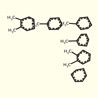 Cc1ccccc1.Cc1ccccc1.Cc1ccccc1.Cc1ccccc1C.Cc1ccccc1C.c1ccccc1